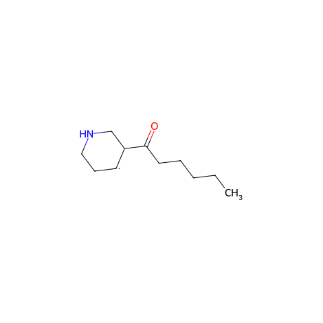 CCCCCC(=O)C1[CH]CCNC1